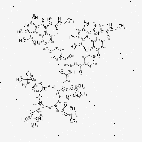 CCNC(=O)c1nnc(-c2cc(C(C)C)c(O)cc2O)n1-c1ccc(OC2CCN(C(=O)CC(CC(=O)N3CCC(Oc4ccc(-n5c(C(=O)NCC)nnc5-c5cc(C(C)C)c(O)cc5O)cc4)CC3)NC(=O)CC[C@H](C(=O)OC(C)(C)C)N3CCN(CC(=O)OC(C)(C)C)CCN(CC(=O)OC(C)(C)C)CCN(CC(=O)OC(C)(C)C)CC3)CC2)cc1